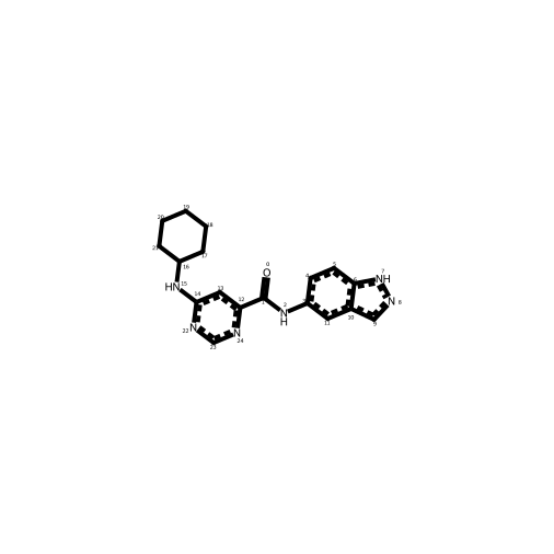 O=C(Nc1ccc2[nH]ncc2c1)c1cc(NC2CCCCC2)ncn1